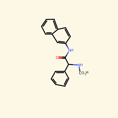 O=C(O)NC(C(=O)Nc1ccc2ccccc2c1)c1ccccc1